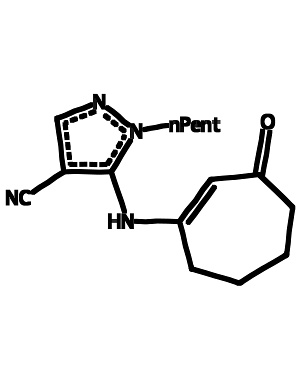 CCCCCn1ncc(C#N)c1NC1=CC(=O)CCCC1